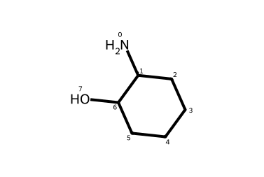 N[C]1CCCCC1O